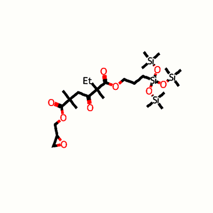 CCC(C)(C(=O)CC(C)(C)C(=O)OCC1CO1)C(=O)OCCC[Si](O[Si](C)(C)C)(O[Si](C)(C)C)O[Si](C)(C)C